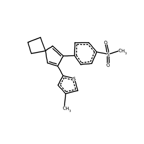 Cc1csc(C2=CC3(C=C2c2ccc(S(C)(=O)=O)cc2)CCC3)c1